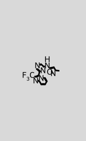 Cc1cc(Nc2cncc(-c3c(C(F)(F)F)nc4ccccn34)n2)on1